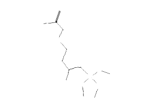 C=C(C)COCCC(C)C[Si](OC)(OC)OC